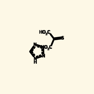 O=C(O)C(=S)C(=O)O.c1nc[nH]n1